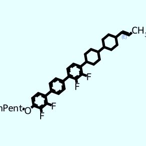 C/C=C/C1CCC(C2CCC(c3ccc(-c4ccc(-c5ccc(OCCCCC)c(F)c5F)cc4)c(F)c3F)CC2)CC1